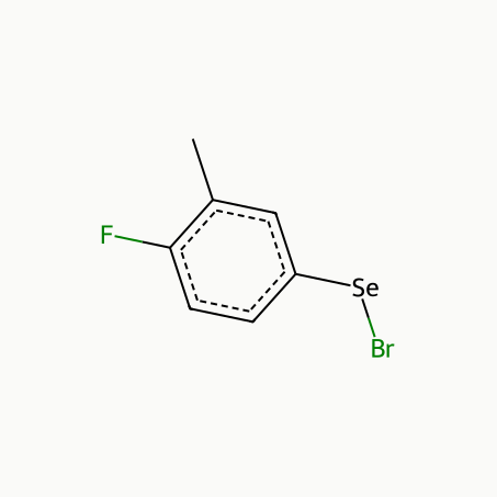 Cc1cc([Se]Br)ccc1F